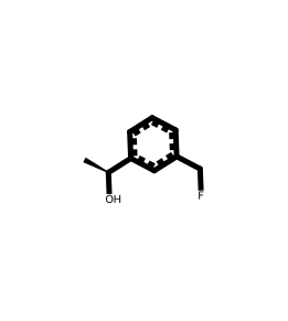 C[C@H](O)c1cccc(CF)c1